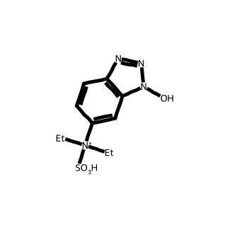 CC[N+](CC)(c1ccc2nnn(O)c2c1)S(=O)(=O)O